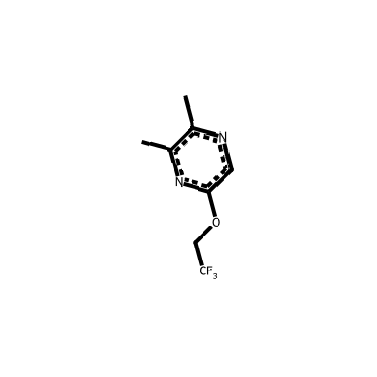 Cc1ncc(OCC(F)(F)F)nc1C